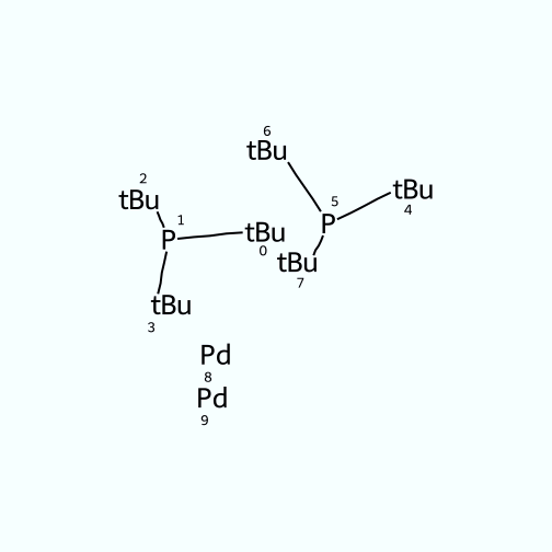 CC(C)(C)P(C(C)(C)C)C(C)(C)C.CC(C)(C)P(C(C)(C)C)C(C)(C)C.[Pd].[Pd]